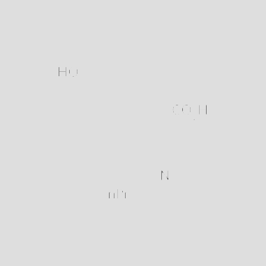 CCCN(C)C(CCO)C(=O)O